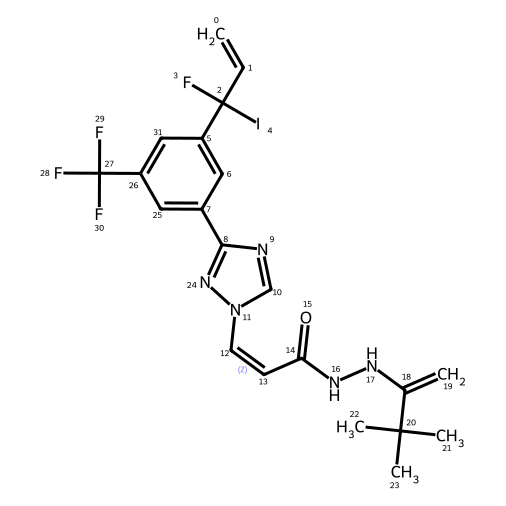 C=CC(F)(I)c1cc(-c2ncn(/C=C\C(=O)NNC(=C)C(C)(C)C)n2)cc(C(F)(F)F)c1